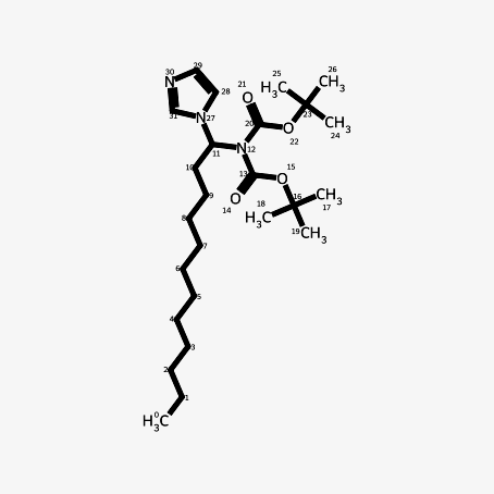 CCCCCCCCCCCC(N(C(=O)OC(C)(C)C)C(=O)OC(C)(C)C)n1ccnc1